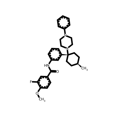 COc1ccc(C(=O)Nc2cccc([C@]3(N4CCN(c5ccccc5)CC4)CC[C@H](C)CC3)c2)cc1F